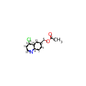 CC(=O)OCc1ccc2nccc(Cl)c2c1